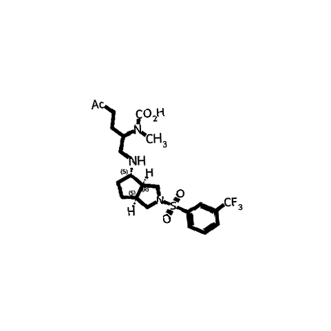 CC(=O)CCC(CN[C@H]1CC[C@@H]2CN(S(=O)(=O)c3cccc(C(F)(F)F)c3)C[C@@H]21)N(C)C(=O)O